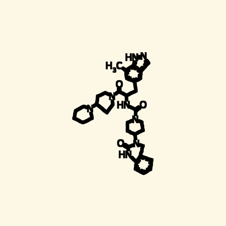 Cc1cc(CC(NC(=O)N2CCC(N3Cc4ccccc4NC3=O)CC2)C(=O)N2CCC(N3CCCCC3)CC2)cc2cn[nH]c12